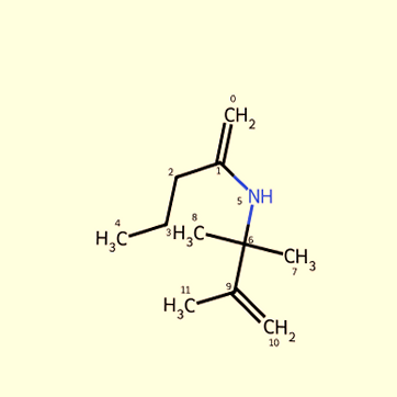 C=C(CCC)NC(C)(C)C(=C)C